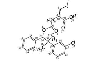 CCCC[C@H](NC(=O)O[C@@H](c1ccccc1)C(C)(C)c1cccc(Cl)c1)C(=O)O